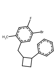 Cc1cc(F)c(Br)cc1CC1CCC1c1ccccc1